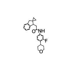 O=C(CC1c2ccccc2CC12CC2)Nc1ccc(C2CCOCC2)c(F)c1